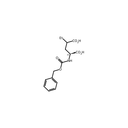 CCC(C[C@H](NC(=O)OCc1ccccc1)C(=O)O)C(=O)O